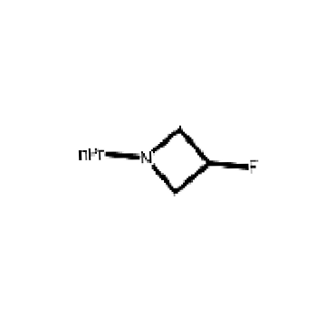 C[CH]CN1CC(F)C1